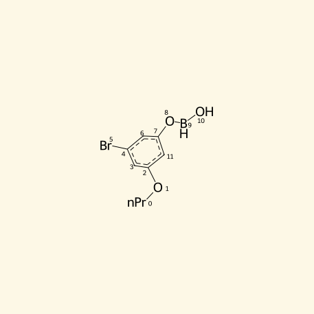 CCCOc1cc(Br)cc(OBO)c1